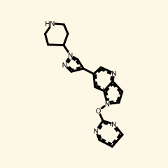 c1cnc(On2ccc3ncc(-c4cnn(C5CCNCC5)c4)cc32)nc1